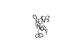 O=C(Cc1ccco1)N1CCN2C(=O)c3cc4ccsc4n3CC12c1ccc(F)cc1